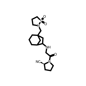 N#C[C@@H]1CCCN1C(=O)CNC1CC2(CN3CCCS3(=O)=O)CCCC1C2